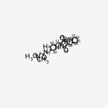 CN(C)CC(=O)NCc1ccc(/C=c2\[nH]c(=O)/c(=C/c3ccccc3Br)[nH]c2=O)cc1